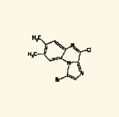 Cc1cc2nc(Cl)c3ncc(Br)n3c2cc1C